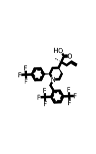 C=CC[C@](C)(C(=O)O)[C@H]1CCN(Cc2cc(C(F)(F)F)ccc2C(F)(F)F)[C@@H](c2ccc(C(F)(F)F)cc2)C1